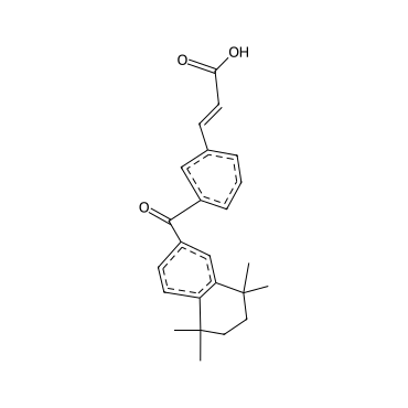 CC1(C)CCC(C)(C)c2cc(C(=O)c3cccc(C=CC(=O)O)c3)ccc21